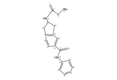 CC(C)(C)OC(=O)NC1Cc2ccc(C(=O)Nc3ccccc3)cc2C1